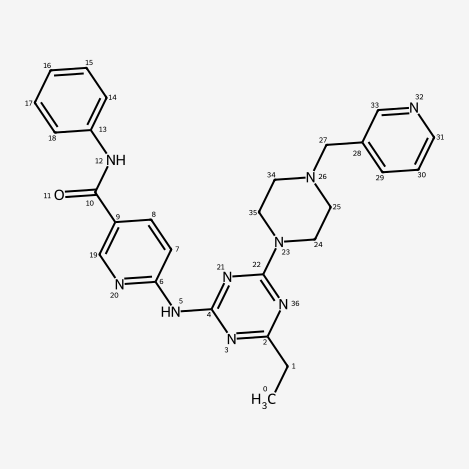 CCc1nc(Nc2ccc(C(=O)Nc3ccccc3)cn2)nc(N2CCN(Cc3cccnc3)CC2)n1